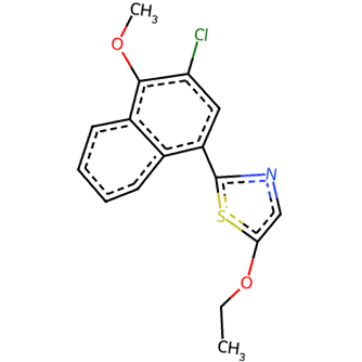 CCOc1cnc(-c2cc(Cl)c(OC)c3ccccc23)s1